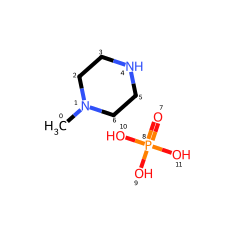 CN1CCNCC1.O=P(O)(O)O